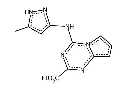 CCOC(=O)c1nc(Nc2cc(C)[nH]n2)n2cccc2n1